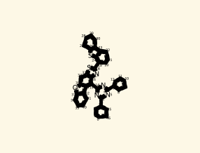 c1ccc(-c2nc(-c3ccccc3)nc(-c3c4nc(-c5cccc6c5sc5ccccc56)sc4cc4oc5ccccc5c34)n2)cc1